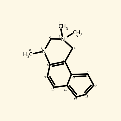 CN1C[N+](C)(C)Cc2c1ccc1ccccc21